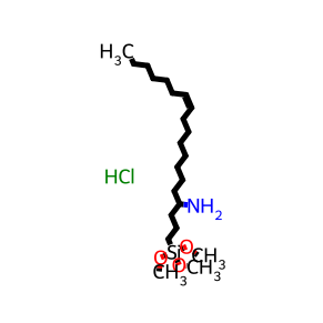 CCCCCC/C=C\CCCCCCCC(N)CCC[Si](OC)(OC)OC.Cl